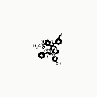 CS(=O)(=O)c1ccc2nc(-c3cccc(CF)c3)c(CN3CCC(N4CC[C@@H](O)C4)CC3)c(C(=O)N[C@H](c3ccccc3)C(F)(F)F)c2c1